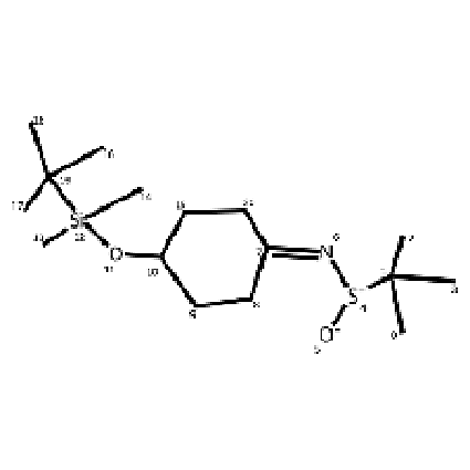 CC(C)(C)[S+]([O-])N=C1CCC(O[Si](C)(C)C(C)(C)C)CC1